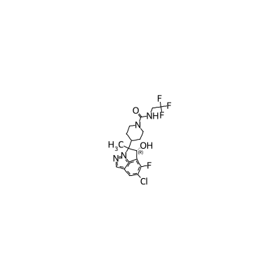 CC1(C2CCN(C(=O)NCC(F)(F)F)CC2)[C@H](O)c2c(F)c(Cl)cc3cnn1c23